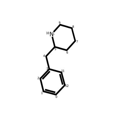 c1ccc(CC2CCCC[N]2)cc1